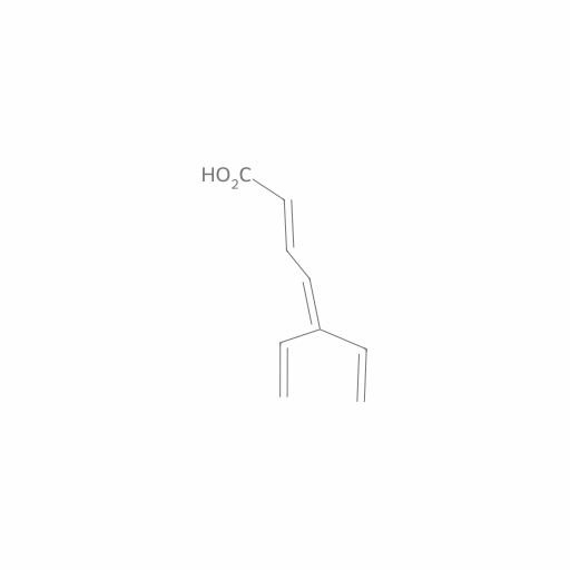 C=CC(C=C)=C/C=C/C(=O)O